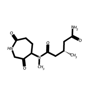 C[C@@H](CC(N)=O)CC(=O)N(C)C1CCC(=O)NCC1=O